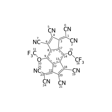 N#CC(C#N)=C1C(C#N)=C(C#N)c2c(OC(F)(F)F)c3c(c(OC(F)(F)F)c21)C(C#N)=C(C#N)C3=C(C#N)C#N